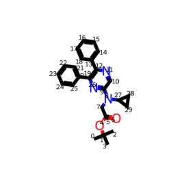 CC(C)(C)OC(=O)CN(c1cnc(-c2ccccc2)c(-c2ccccc2)n1)C1CC1